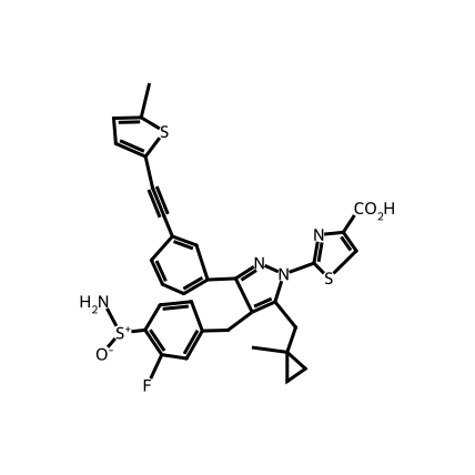 Cc1ccc(C#Cc2cccc(-c3nn(-c4nc(C(=O)O)cs4)c(CC4(C)CC4)c3Cc3ccc([S+](N)[O-])c(F)c3)c2)s1